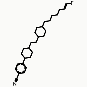 N#Cc1ccc(C2CCC(CCC3CCC(CCCCCC=CF)CC3)CC2)cc1